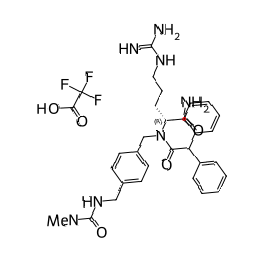 CNC(=O)NCc1ccc(CN(C(=O)C(c2ccccc2)c2ccccc2)[C@H](CCCNC(=N)N)C(N)=O)cc1.O=C(O)C(F)(F)F